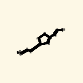 C=C/C=C1C=C(/C=C/I)CC/1